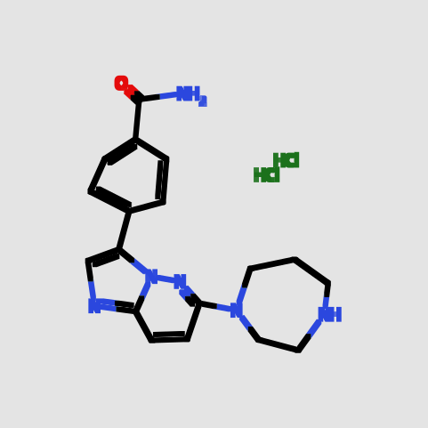 Cl.Cl.NC(=O)c1ccc(-c2cnc3ccc(N4CCCNCC4)nn23)cc1